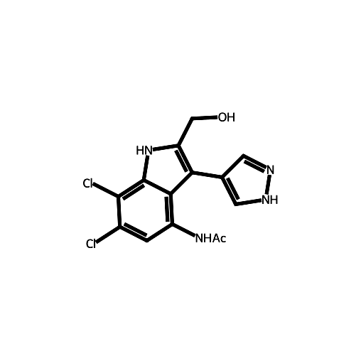 CC(=O)Nc1cc(Cl)c(Cl)c2[nH]c(CO)c(-c3cn[nH]c3)c12